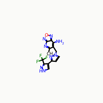 Cc1nc2nonc2c(N)c1Cn1ccc(-c2c[nH]nc2C(F)(F)F)n1